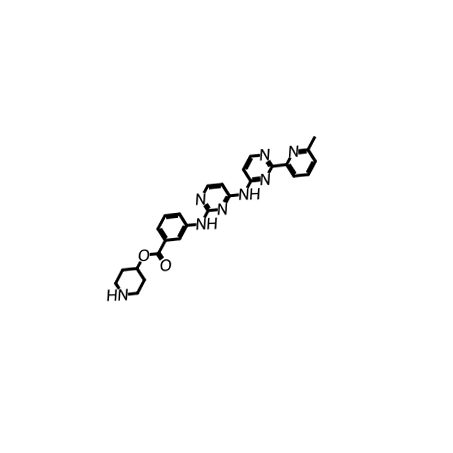 Cc1cccc(-c2nccc(Nc3ccnc(Nc4cccc(C(=O)OC5CCNCC5)c4)n3)n2)n1